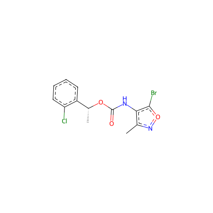 Cc1noc(Br)c1NC(=O)O[C@H](C)c1ccccc1Cl